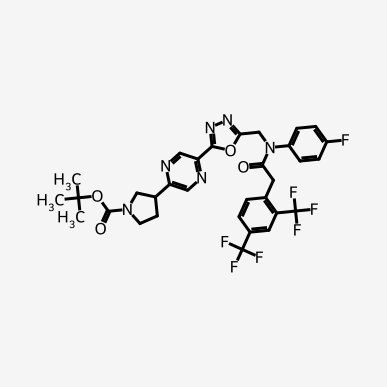 CC(C)(C)OC(=O)N1CCC(c2cnc(-c3nnc(CN(C(=O)Cc4ccc(C(F)(F)F)cc4C(F)(F)F)c4ccc(F)cc4)o3)cn2)C1